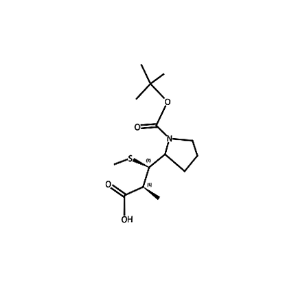 CS[C@@H](C1CCCN1C(=O)OC(C)(C)C)[C@@H](C)C(=O)O